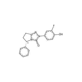 O=c1n(-c2ccc(O)c(F)c2)nc2n1[C@H](c1ccccc1)CC2